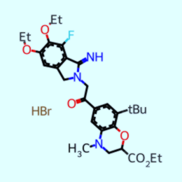 Br.CCOC(=O)C1CN(C)c2cc(C(=O)CN3Cc4cc(OCC)c(OCC)c(F)c4C3=N)cc(C(C)(C)C)c2O1